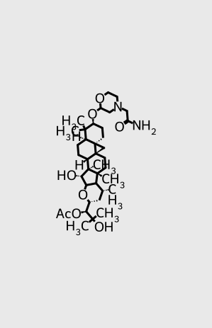 CC(=O)O[C@@H]([C@H]1C[C@@H](C)C2C(O1)[C@H](O)[C@@]1(C)[C@@H]3CC[C@H]4C(C)(C)[C@@H](OC5CN(CC(N)=O)CCO5)CC[C@@]45C[C@@]35CC[C@]21C)C(C)(C)O